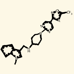 Cn1cc(CNC2CCN(c3ncc(-c4noc(C(F)(F)F)n4)cn3)CC2)c2ccccc21